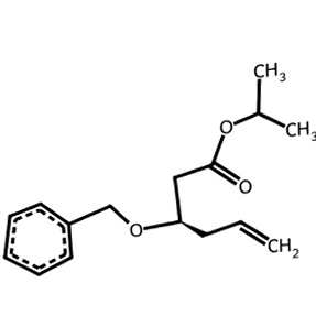 C=CC[C@H](CC(=O)OC(C)C)OCc1ccccc1